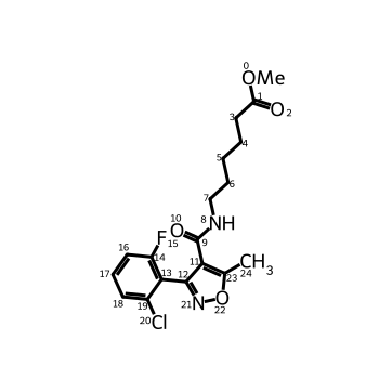 COC(=O)CCCCCNC(=O)c1c(-c2c(F)cccc2Cl)noc1C